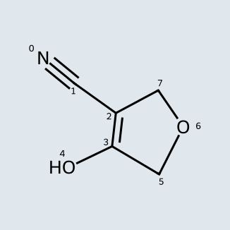 N#CC1=C(O)COC1